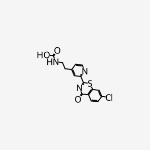 O=C(O)NCCc1ccnc(-c2nc(=O)c3ccc(Cl)cc3s2)c1